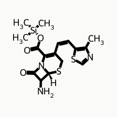 Cc1ncsc1/C=C\C1=C(C(=O)O[Si](C)(C)C)N2C(=O)C(N)[C@H]2SC1